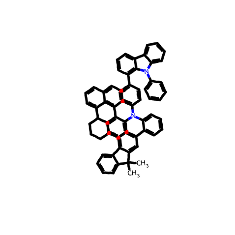 CC1(C)c2ccccc2-c2ccc(-c3ccccc3N(c3ccc(-c4cccc5c6ccccc6n(-c6ccccc6)c45)cc3)c3ccccc3-c3cccc4cccc(C5CCCCC5)c34)cc21